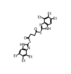 CCc1cc2[nH]c(SC(=O)CCC(=O)Sc3nc4c(CC)c(CC)c(CC)cc4[nH]3)nc2c(CC)c1CC